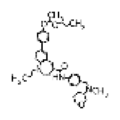 CCCOC(C)Oc1ccc(-c2ccc3c(c2)C=C(C(=O)Nc2ccc(CN(C)C4CCCOC4)cc2)CCN3CCC)cc1